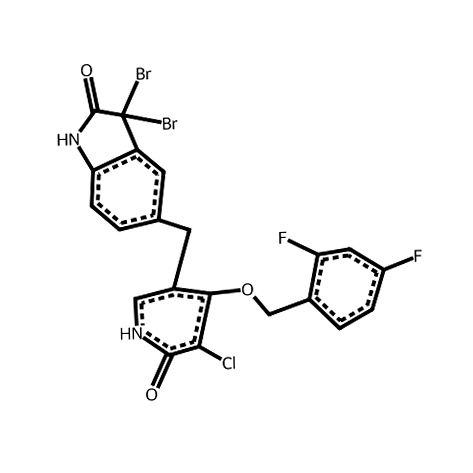 O=C1Nc2ccc(Cc3c[nH]c(=O)c(Cl)c3OCc3ccc(F)cc3F)cc2C1(Br)Br